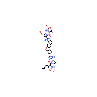 C=C(/C=C\C=C/C)[C@@H](NC(=O)OC)C(=O)N1C[C@@H](C)C[C@H]1c1ncc(-c2ccc3c(c2)COc2cc4c(ccc5nc([C@@H]6C[C@H](COC)CN6C(=O)[C@@H](NC(=O)OC)C(C)C)[nH]c54)cc2-3)[nH]1